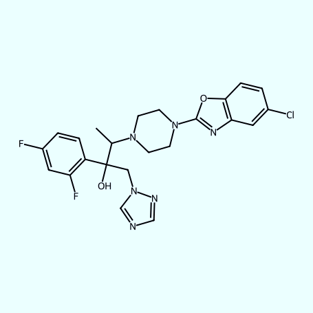 CC(N1CCN(c2nc3cc(Cl)ccc3o2)CC1)C(O)(Cn1cncn1)c1ccc(F)cc1F